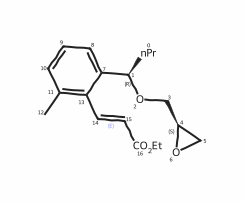 CCC[C@@H](OC[C@H]1CO1)c1cccc(C)c1/C=C/C(=O)OCC